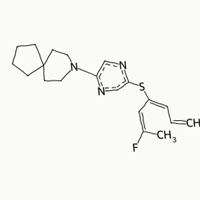 C=C/C=C(\C=C(/C)F)Sc1cnc(N2CCC3(CCCC3)CC2)cn1